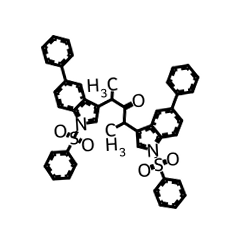 CC(C(=O)C(C)c1cn(S(=O)(=O)c2ccccc2)c2ccc(-c3ccccc3)cc12)c1cn(S(=O)(=O)c2ccccc2)c2ccc(-c3ccccc3)cc12